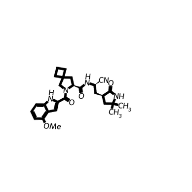 COc1cccc2[nH]c(C(=O)N3CC4(CCC4)C[C@H]3C(=O)N[C@H](C#N)C[C@@H]3CC(C)(C)NC3=O)cc12